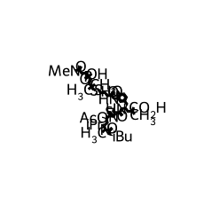 CC[C@H](C)CC(=O)N(C)C(C[C@@H](OC(C)=O)c1nc(C(=O)N[C@@H](Cc2ccc(O)c(NC(=O)CCCSSC(C)(C)CCP(=O)(O)CCC(=O)NC)c2)CC(C)C(=O)O)cs1)C(C)C